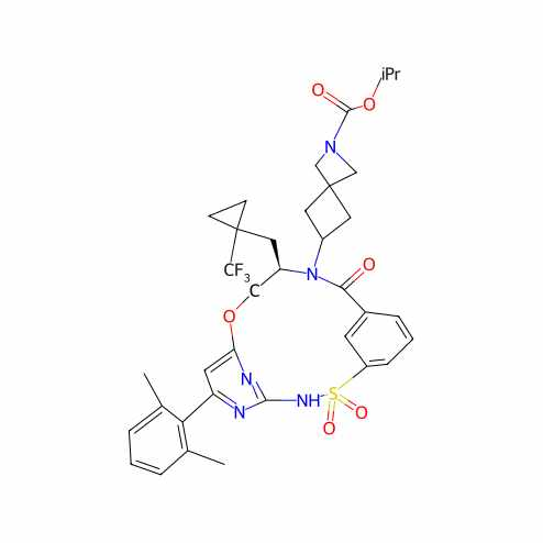 Cc1cccc(C)c1-c1cc2nc(n1)NS(=O)(=O)c1cccc(c1)C(=O)N(C1CC3(C1)CN(C(=O)OC(C)C)C3)[C@H](CC1(C(F)(F)F)CC1)CO2